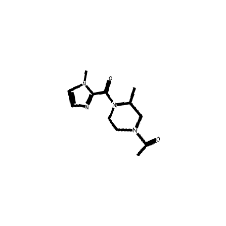 CC(=O)N1CCN(C(=O)c2nccn2C)C(C)C1